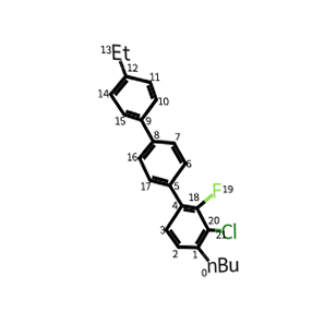 CCCCc1ccc(-c2ccc(-c3ccc(CC)cc3)cc2)c(F)c1Cl